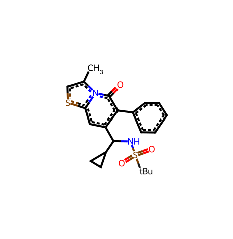 Cc1csc2cc(C(NS(=O)(=O)C(C)(C)C)C3CC3)c(-c3ccccc3)c(=O)n12